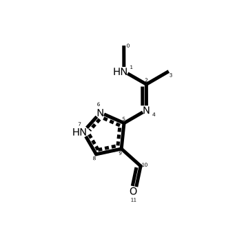 CN/C(C)=N\c1n[nH]cc1C=O